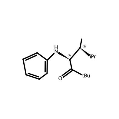 CC(C)[C@H](C)[C@H](Nc1ccccc1)C(=O)C(C)(C)C